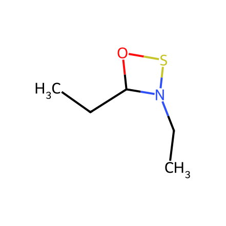 CCC1OSN1CC